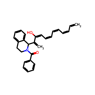 C=C\C=C/C=C\C=C/C=C(/O)C(=C)C1c2ccccc2CCN1C(=O)c1ccccc1